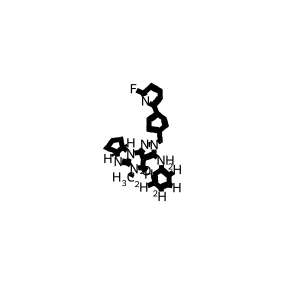 [2H]c1c([2H])c([2H])c(Nc2c3c(nn2Cc2ccc(-c4cccc(F)n4)cc2)N2C(=N[C@@H]4CCC[C@@H]42)N(C)C3=O)c([2H])c1[2H]